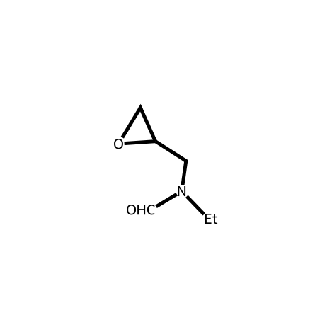 CCN(C=O)CC1CO1